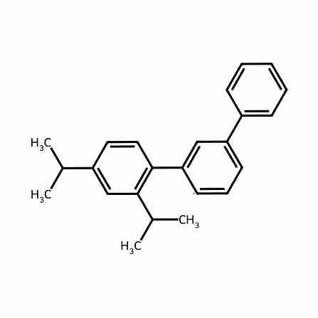 CC(C)c1ccc(-c2[c]ccc(-c3ccccc3)c2)c(C(C)C)c1